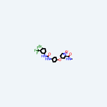 CNC(=O)c1cc(Oc2ccc(NC(=O)Nc3ccc(Br)c(C(F)(F)F)c3)cc2)cc[n+]1[O-]